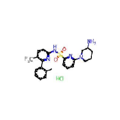 Cc1ccccc1-c1nc(NS(=O)(=O)c2cccc(N3CCCC(N)C3)n2)ccc1C(F)(F)F.Cl